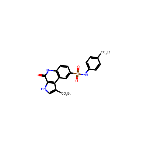 CCOC(=O)c1ccc(NS(=O)(=O)c2ccc3[nH]c(=O)c4[nH]cc(C(=O)OCC)c4c3c2)cc1